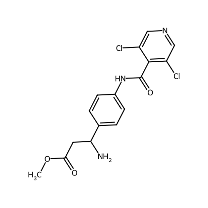 COC(=O)CC(N)c1ccc(NC(=O)c2c(Cl)cncc2Cl)cc1